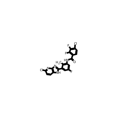 Cc1c(NC(=O)c2ccc(Cl)c(F)c2F)cc(F)cc1-c1nc2nc(Cl)ccc2[nH]1